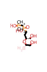 B[C@@H](CO)O[C@@H](CO)CCP(=O)(O)CP(=C)(C)O